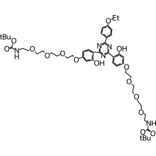 CCOc1ccc(-c2nc(-c3ccc(OCCOCCOCCOCCNC(=O)OC(C)(C)C)cc3O)nc(-c3ccc(OCCOCCOCCOCCNC(=O)OC(C)(C)C)cc3O)n2)cc1